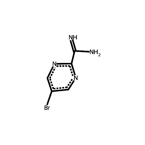 N=C(N)c1ncc(Br)cn1